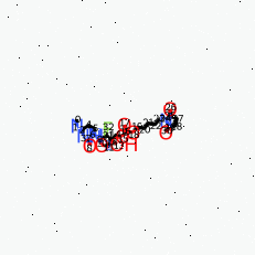 C/N=C(N)\C=C/N(C=O)C1OCC(O)(COC(=O)OCCCCCN2C(=O)C=CC2=O)[C@@H]1F